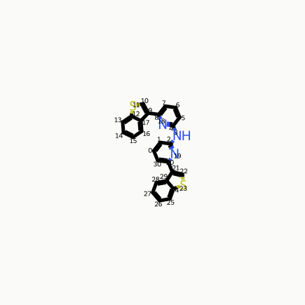 c1cc(Nc2cccc(-c3csc4ccccc34)n2)nc(-c2csc3ccccc23)c1